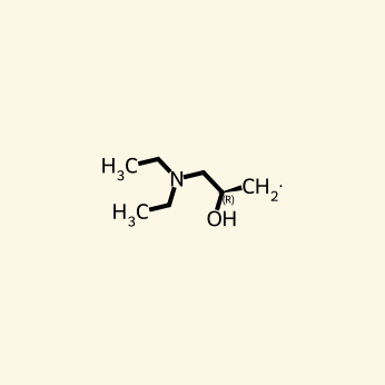 [CH2][C@@H](O)CN(CC)CC